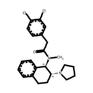 CN(C(=O)Cc1ccc(Cl)c(Cl)c1)[C@@H]1c2ccccc2CC[C@H]1N1CCCC1